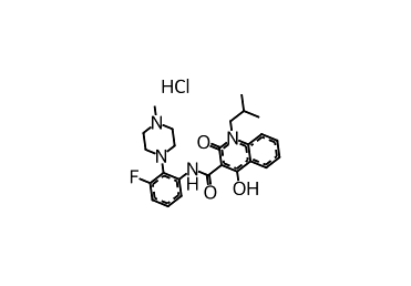 CC(C)Cn1c(=O)c(C(=O)Nc2cccc(F)c2N2CCN(C)CC2)c(O)c2ccccc21.Cl